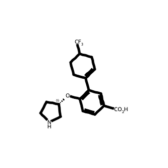 O=C(O)c1ccc(O[C@H]2CCNC2)c(C2=CCC(C(F)(F)F)CC2)c1